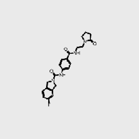 O=C(NCCN1CCCC1=O)c1ccc(NC(=O)N2Cc3ccc(F)cc3C2)cc1